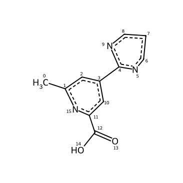 Cc1cc(-c2ncccn2)cc(C(=O)O)n1